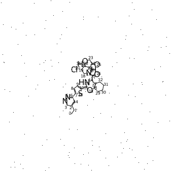 CCc1cnnc(-c2ccc(C(=O)N[C@H](C(=O)N3C[C@H](Cl)[C@H]4OCC(=O)[C@H]43)C3CCCCC3)s2)c1